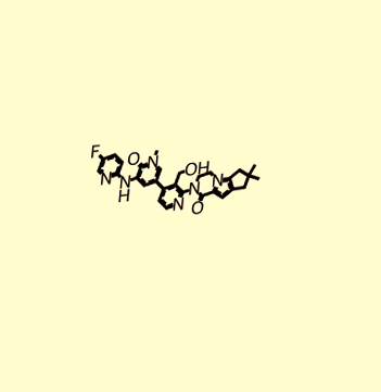 Cn1cc(-c2ccnc(N3CCn4c(cc5c4CC(C)(C)C5)C3=O)c2CO)cc(Nc2ccc(F)cn2)c1=O